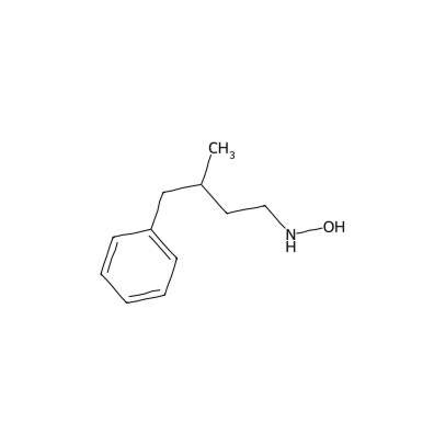 CC(CCNO)Cc1ccccc1